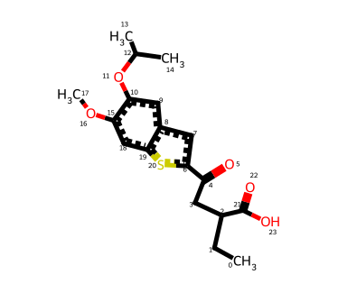 CCC(CC(=O)c1cc2cc(OC(C)C)c(OC)cc2s1)C(=O)O